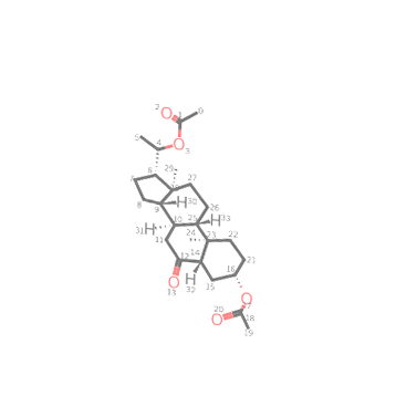 CC(=O)OC(C)[C@H]1CC[C@H]2[C@@H]3CC(=O)[C@H]4C[C@@H](OC(C)=O)CC[C@]4(C)[C@H]3CC[C@]12C